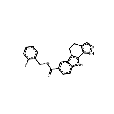 O=C(NCc1ccccc1F)c1ccc2[nH]c3c(c2c1)CCc1cn[nH]c1-3